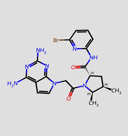 C[C@@H]1C[C@@H](C(=O)Nc2cccc(Br)n2)N(C(=O)Cn2ccc3c(N)nc(N)nc32)[C@@H]1C